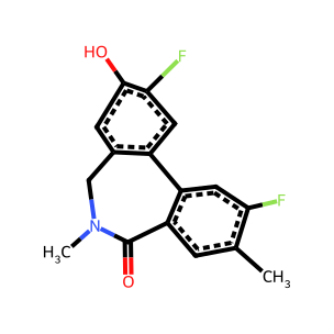 Cc1cc2c(cc1F)-c1cc(F)c(O)cc1CN(C)C2=O